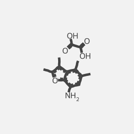 Cc1cc(N)c2oc(C)c(C)c2c1C.O=C(O)C(=O)O